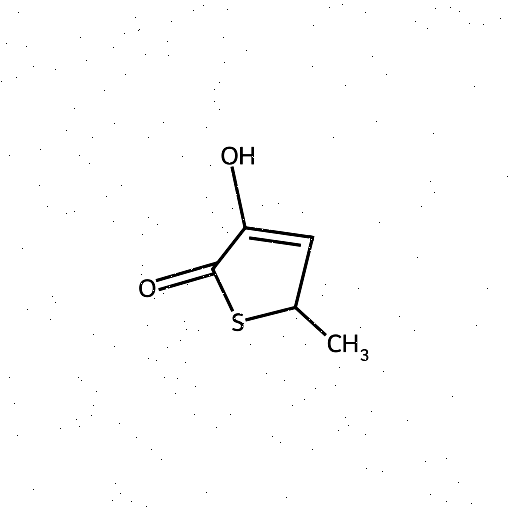 CC1C=C(O)C(=O)S1